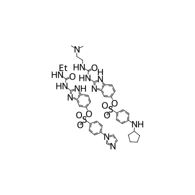 CCNC(=O)Nc1nc2cc(OS(=O)(=O)c3ccc(-n4ccnc4)cc3)ccc2[nH]1.CN(C)CCNC(=O)Nc1nc2cc(OS(=O)(=O)c3ccc(NC4CCCC4)cc3)ccc2[nH]1